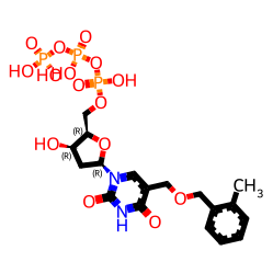 Cc1ccccc1COCc1cn([C@H]2C[C@@H](O)[C@@H](COP(=O)(O)OP(=O)(O)OP(=O)(O)O)O2)c(=O)[nH]c1=O